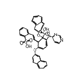 O=S(=O)(O)c1ccccc1C=CC1C(Oc2ccc3ccccc3c2)=CC=C(Nc2ccncn2)C1(Oc1ccc2ccccc2c1)S(=O)(=O)O